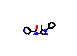 Cc1c(NC(=O)c2ccncc2)cnn1-c1ccccc1